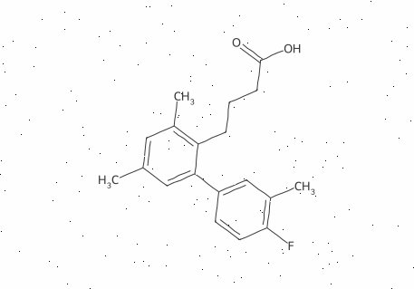 Cc1cc(C)c(CCCC(=O)O)c(-c2ccc(F)c(C)c2)c1